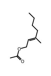 CCCCC(C)=CCOC(C)=O